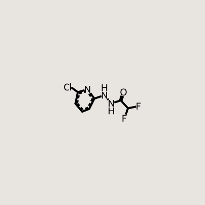 O=C(NNc1cccc(Cl)n1)C(F)F